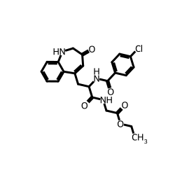 CCOC(=O)CNC(=O)C(CC1=CC(=O)CNc2ccccc21)NC(=O)c1ccc(Cl)cc1